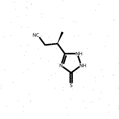 C[C@H](CC#N)c1nc(=S)[nH][nH]1